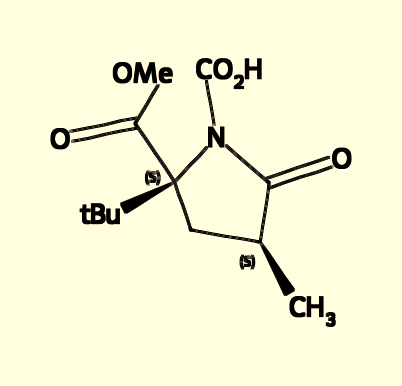 COC(=O)[C@@]1(C(C)(C)C)C[C@H](C)C(=O)N1C(=O)O